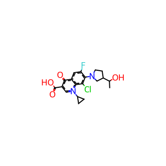 CC(O)C1CCN(c2c(F)cc3c(=O)c(C(=O)O)cn(C4CC4)c3c2Cl)C1